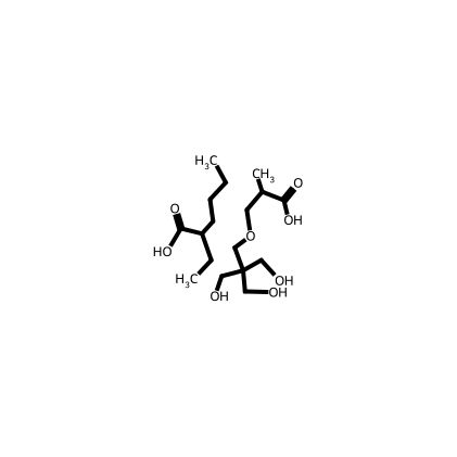 CC(COCC(CO)(CO)CO)C(=O)O.CCCCC(CC)C(=O)O